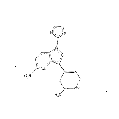 CC1CC(c2cn(-c3nccs3)c3ccc([N+](=O)[O-])cc23)=CCN1